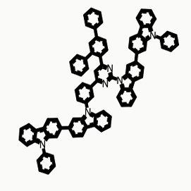 c1ccc(-c2ccc(-c3cc(-c4cccc(-n5c6ccccc6c6ccc(-c7ccc8c9ccccc9n(-c9ccccc9)c8c7)cc65)c4)nc(-n4c5ccccc5c5ccc(-c6ccc7c8ccccc8n(-c8ccccc8)c7c6)cc54)n3)c(-c3ccccc3)c2)cc1